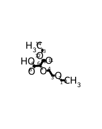 CCOCCOC(C(=O)O)C(=O)OCC